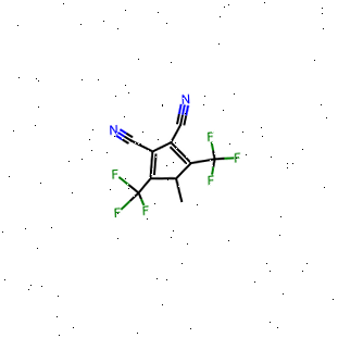 CC1C(C(F)(F)F)=C(C#N)C(C#N)=C1C(F)(F)F